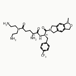 CB1OCc2cc3c(cc21)CN(C(=O)[C@@H](Cc1ccc(C(F)(F)F)cc1)NC(=O)[C@@H](N)CCC(=O)N(CCN)CCN)C3